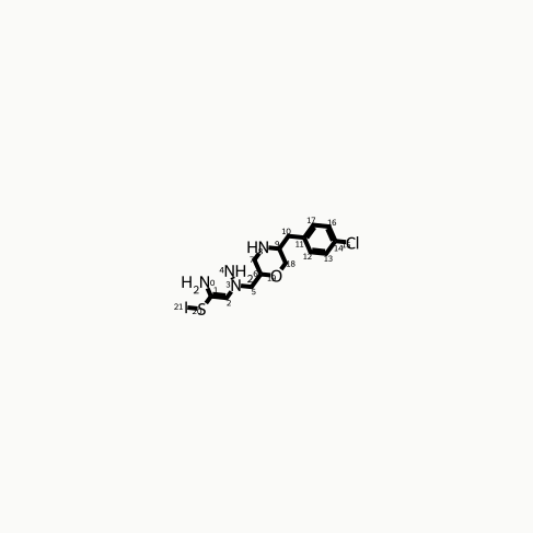 N/C(=C\N(N)CC1CNC(Cc2ccc(Cl)cc2)CO1)SI